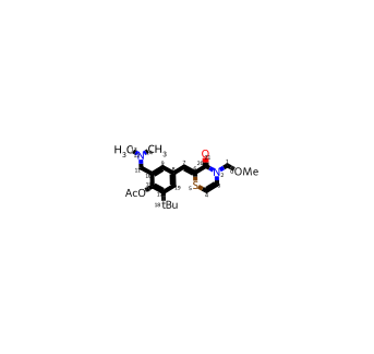 COCN1C=CS/C(=C\c2cc(CN(C)C)c(OC(C)=O)c(C(C)(C)C)c2)C1=O